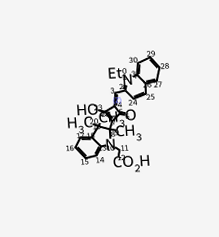 CC[n+]1c(/C=C2\C(=O)C(C3(C)N(CC(=O)O)c4ccccc4C3(C)C)=C2O)ccc2ccccc21